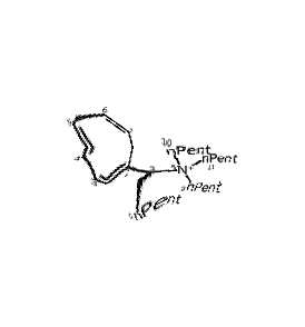 CCCCCC(c1ccccc1)[N+](CCCCC)(CCCCC)CCCCC